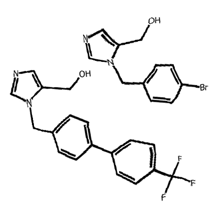 OCc1cncn1Cc1ccc(-c2ccc(C(F)(F)F)cc2)cc1.OCc1cncn1Cc1ccc(Br)cc1